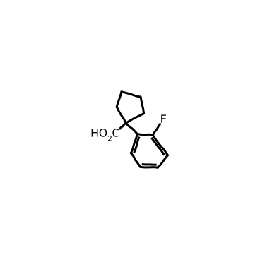 O=C(O)C1(c2ccccc2F)CCCC1